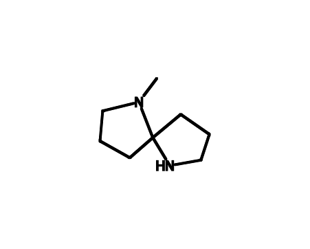 CN1CCCC12CCCN2